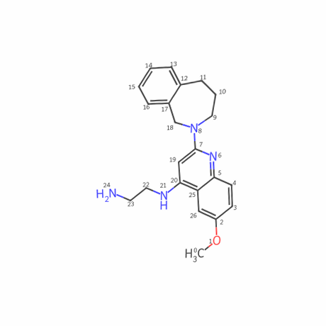 COc1ccc2nc(N3CCCc4ccccc4C3)cc(NCCN)c2c1